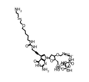 [N-]=[N+]=NCOC1CC(n2cc(C#CCNC(=O)NCCCCCOCSSCCN)c3c(=O)[nH]c(N)nc32)O[C@@H]1CO[PH](O)(O)OP(=O)(O)OP(=O)(O)O